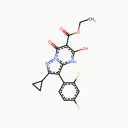 CCOC(=O)c1c(O)[nH]c2c(-c3ccc(F)cc3F)c(C3CC3)nn2c1=O